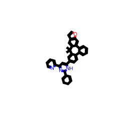 CC1(C)c2cc(C3=CC(c4ccccn4)=NC(C4=CCCC=C4)N3)ccc2-c2ccccc2-c2cc3occc3cc21